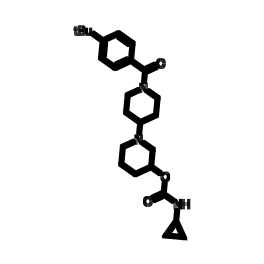 CC(C)(C)c1ccc(C(=O)N2CCC(N3CCCC(OC(=O)NC4CC4)C3)CC2)cc1